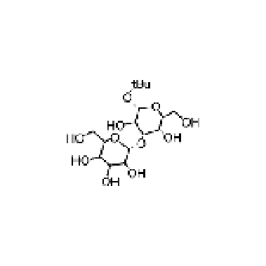 CC(C)(C)O[C@@H]1OC(CO)[C@H](O)[C@H](O[C@H]2OC(CO)[C@H](O)[C@H](O)C2O)C1O